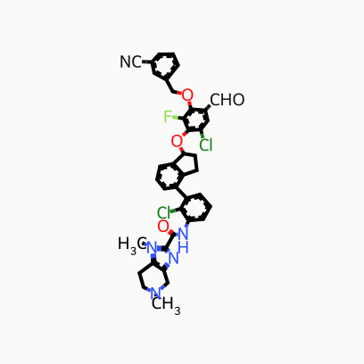 CN1CCc2c(nc(C(=O)Nc3cccc(-c4cccc5c4CCC5Oc4c(Cl)cc(C=O)c(OCc5cccc(C#N)c5)c4F)c3Cl)n2C)C1